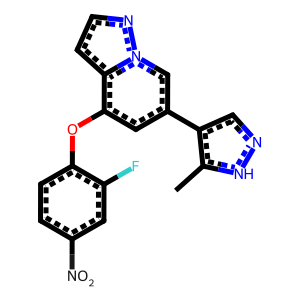 Cc1[nH]ncc1-c1cc(Oc2ccc([N+](=O)[O-])cc2F)c2ccnn2c1